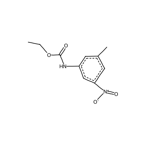 CCOC(=O)Nc1cc(C)cc([N+](=O)[O-])c1